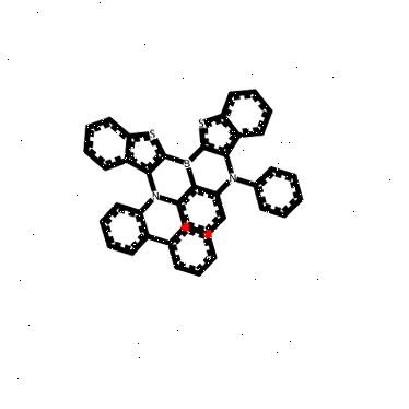 c1ccc(-c2ccccc2N2c3cccc4c3B(c3sc5ccccc5c3N4c3ccccc3)c3sc4ccccc4c32)cc1